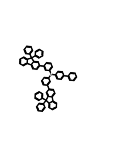 c1ccc(-c2ccc(N(c3cccc(-c4ccc5c(c4)C(c4ccccc4)(c4ccccc4)c4ccccc4-5)c3)c3cccc(-c4ccc5c(c4)C(c4ccccc4)(c4ccccc4)c4ccccc4-5)c3)cc2)cc1